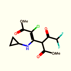 COC(=O)C(Cl)=C(NC1CC1)C(C(=O)OC)C(=O)C(F)F